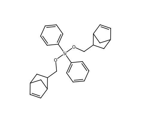 C1=CC2CC1CC2CO[Si](OCC1CC2C=CC1C2)(c1ccccc1)c1ccccc1